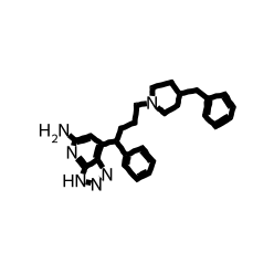 Nc1cc(C(CCCN2CCC(Cc3ccccc3)CC2)c2ccccc2)c2nn[nH]c2n1